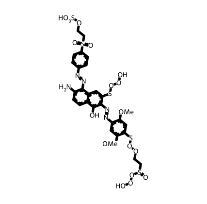 COc1cc(SOOCCS(=O)OOO)c(OC)cc1N=Nc1c(SOOO)cc2c(N=Nc3ccc(S(=O)(=O)CCOS(=O)(=O)O)cc3)c(N)ccc2c1O